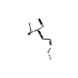 C=C/C(=C\C=N/CC)C(C)=O